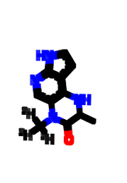 [2H]C([2H])([2H])N1C(=O)C(C)Nc2c1cnc1[nH]ccc21